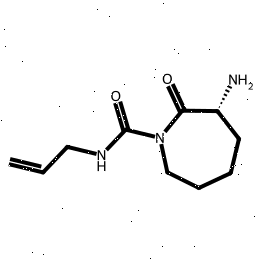 C=CCNC(=O)N1CCCC[C@@H](N)C1=O